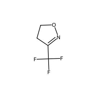 FC(F)(F)C1=NOCC1